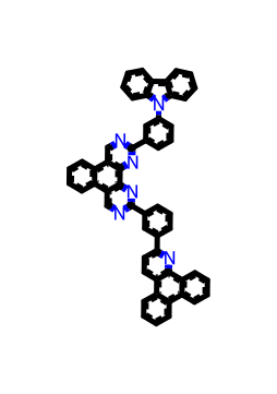 c1cc(-c2ccc3c4ccccc4c4ccccc4c3n2)cc(-c2ncc3c4ccccc4c4cnc(-c5cccc(-n6c7ccccc7c7ccccc76)c5)nc4c3n2)c1